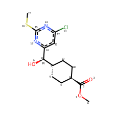 COC(=O)[C@H]1CC[C@H]([C@@H](O)c2cc(Cl)nc(SC)n2)CC1